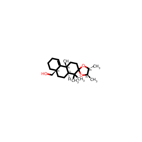 C[C@H]1OC2(CC[C@@]3(C)C4=CCCC[C@@]4(CO)CC[C@@H]3C2(C)C)O[C@@H]1C